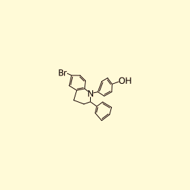 Oc1ccc(N2c3ccc(Br)cc3CCC2c2ccccc2)cc1